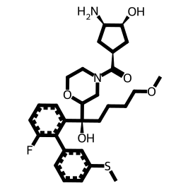 COCCCC[C@](O)(c1cccc(F)c1-c1cccc(SC)c1)C1CN(C(=O)[C@H]2C[C@@H](N)[C@@H](O)C2)CCO1